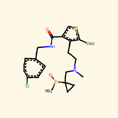 CN(CCc1c(C(=O)NCc2ccc(Cl)cc2)csc1C=O)CC1([S+]([O-])C(C)(C)C)CC1